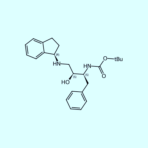 CC(C)(C)OC(=O)N[C@@H](Cc1ccccc1)[C@@H](O)CN[C@@H]1CCc2ccccc21